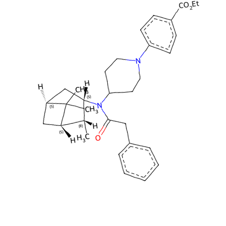 CCOC(=O)c1ccc(N2CCC(N(C(=O)Cc3ccccc3)[C@H]3C[C@@H]4C[C@@H]([C@H]3C)C4(C)C)CC2)cc1